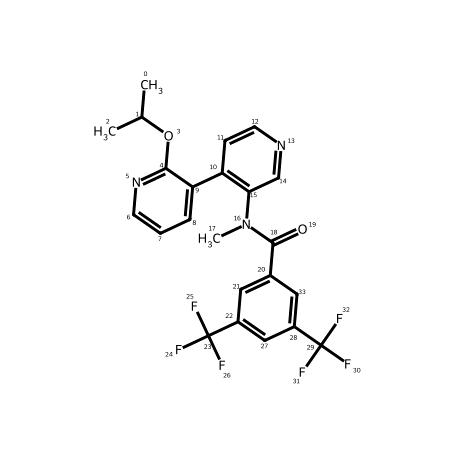 CC(C)Oc1ncccc1-c1ccncc1N(C)C(=O)c1cc(C(F)(F)F)cc(C(F)(F)F)c1